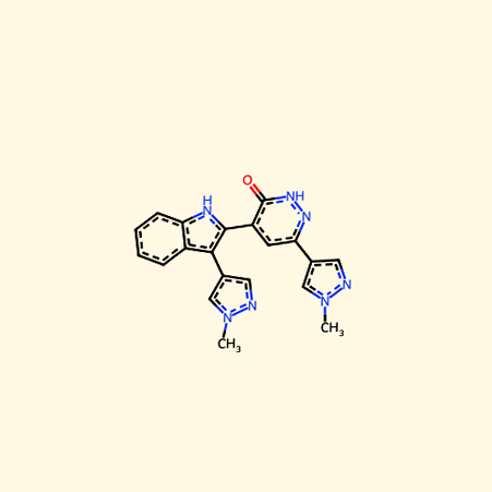 Cn1cc(-c2cc(-c3[nH]c4ccccc4c3-c3cnn(C)c3)c(=O)[nH]n2)cn1